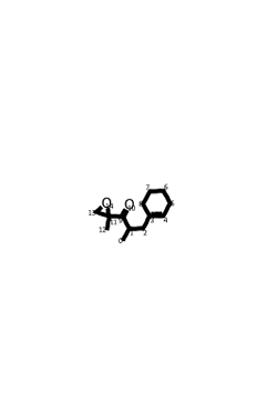 CC(CC1=CCCCC1)C(=O)C1(C)CO1